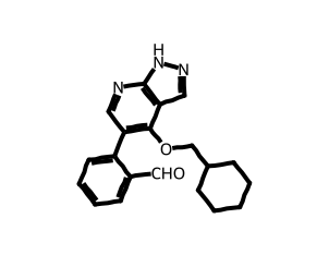 O=Cc1ccccc1-c1cnc2[nH]ncc2c1OCC1CCCCC1